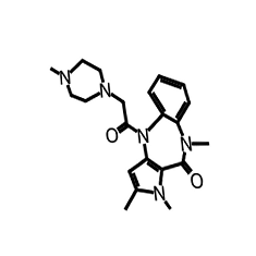 Cc1cc2c(n1C)C(=O)N(C)c1ccccc1N2C(=O)CN1CCN(C)CC1